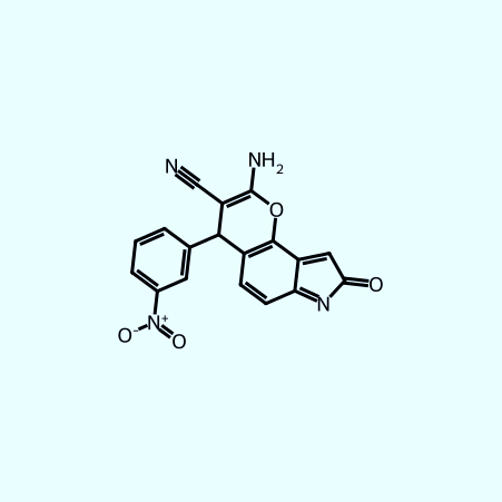 N#CC1=C(N)Oc2c(ccc3c2=CC(=O)N=3)C1c1cccc([N+](=O)[O-])c1